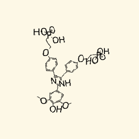 COc1cc(-c2nc(-c3ccc(OCCP(=O)(O)O)cc3)c(-c3ccc(OCCP(=O)(O)O)cc3)[nH]2)cc(OC)c1O